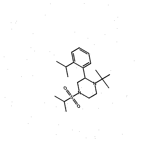 CC(C)c1ccccc1C1CN(S(=O)(=O)C(C)C)CCN1C(C)(C)C